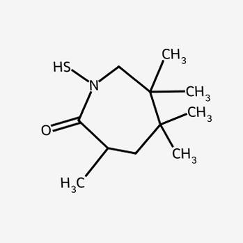 CC1CC(C)(C)C(C)(C)CN(S)C1=O